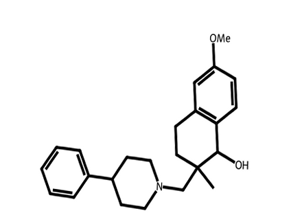 COc1ccc2c(c1)CCC(C)(CN1CCC(c3ccccc3)CC1)C2O